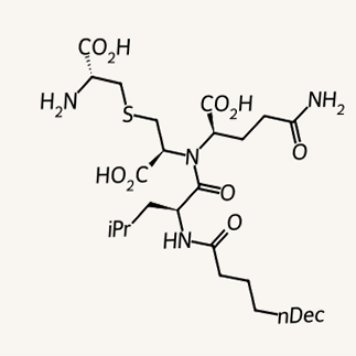 CCCCCCCCCCCCCC(=O)N[C@@H](CC(C)C)C(=O)N([C@H](CCC(N)=O)C(=O)O)[C@H](CSC[C@H](N)C(=O)O)C(=O)O